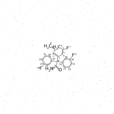 C=C/C=C(\C=C(/C)F)C(C(N)=O)(c1cccc(F)c1)c1cccc(F)c1